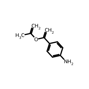 C=C(C)OC(=C)c1ccc(N)cc1